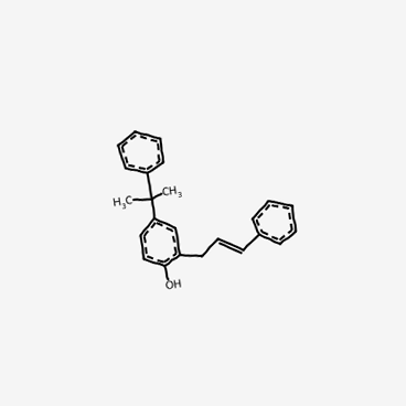 CC(C)(c1ccccc1)c1ccc(O)c(C/C=C/c2ccccc2)c1